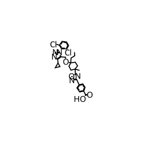 CCCC1(OCc2c(C3CC3)nnn2-c2c(Cl)cccc2Cl)CCC(C)(c2nc(-c3ccc(C(=O)O)cc3)no2)CC1